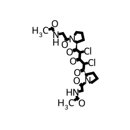 CC(=O)NCC(=O)N1CCC[C@H]1C(=O)C(Cl)C(=O)C(Cl)C(=O)[C@@H]1CCCN1C(=O)CNC(C)=O